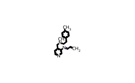 C=C/C=N/c1cnccc1CN(C)CCc1ccc(C)cc1